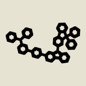 c1ccc(N(c2ccccc2)c2cccc(-c3ccc(-c4ccc5c6ccccc6n(-c6ccc7c(c6)C(c6ccccc6)(c6ccccc6)c6ccccc6-7)c5c4)cc3)c2)cc1